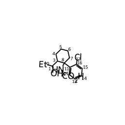 CCC(O)C1CCCCC1(NC(=O)O)c1ccccc1Cl